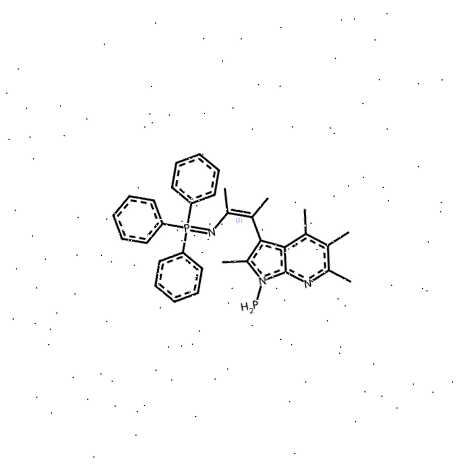 C/C(N=P(c1ccccc1)(c1ccccc1)c1ccccc1)=C(\C)c1c(C)n(P)c2nc(C)c(C)c(C)c12